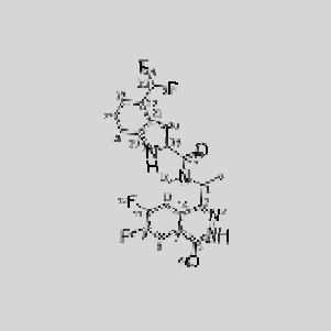 CC(c1n[nH]c(=O)c2cc(F)c(F)cc12)N(C)C(=O)c1cc2c(C(F)F)cccc2[nH]1